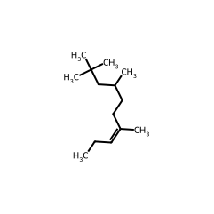 CCC=C(C)CCC(C)CC(C)(C)C